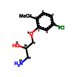 COc1ccc(Cl)cc1OCC(O)CN